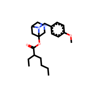 CCCCC(CC)C(=O)OC12CNCC(C1)N2Cc1ccc(OC)cc1